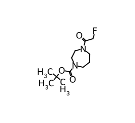 CC(C)(C)OC(=O)N1CCCN(C(=O)CF)CC1